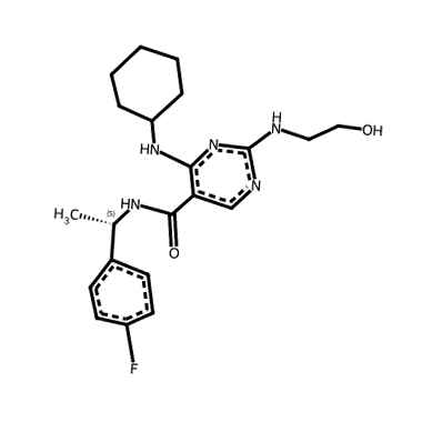 C[C@H](NC(=O)c1cnc(NCCO)nc1NC1CCCCC1)c1ccc(F)cc1